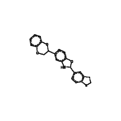 c1ccc2c(c1)OCC(c1ccc3c(c1)NC(c1ccc4c(c1)CCS4)O3)O2